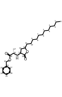 CCCCCCCCCCCCC1CC(N[C@@H](C)C(=O)OCc2ccccc2)C(=O)O1